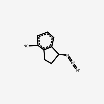 N#Cc1cccc2c1CC[C@@H]2N=[N+]=[N-]